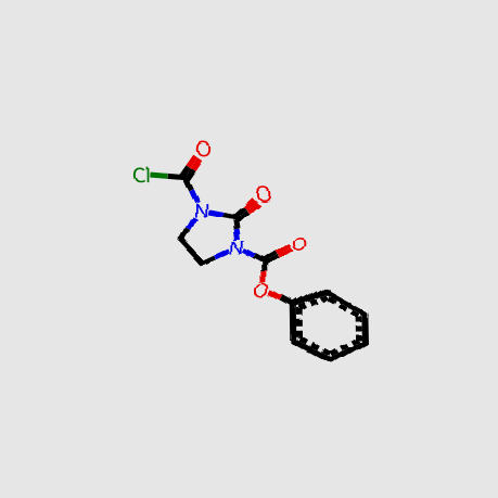 O=C(Cl)N1CCN(C(=O)Oc2ccccc2)C1=O